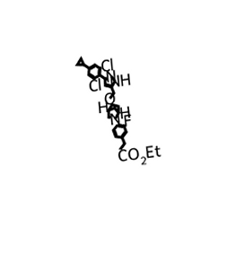 CCOC(=O)CCc1ccc(N2C[C@@H]3C[C@H]2C[C@H]3OCc2cc(-c3c(Cl)cc(C4CC4)cc3Cl)n[nH]2)c(F)c1